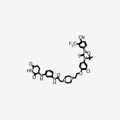 CC1(C)ON(c2ccc(C#N)c(C(F)(F)F)c2)C(=S)N1c1ccc(OCCN2CCN(CC(=O)Nc3cccc(NC4CCC(=O)NC4=O)c3)CC2)c(Cl)c1